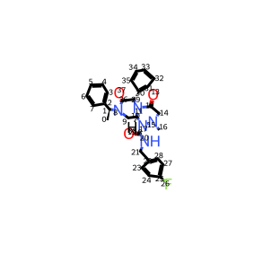 C[C@@H](c1ccccc1)N1C[C@H]2N(C(=O)CN(C)N2C(=O)NCc2ccc(F)cc2)[C@@H](c2ccccc2)C1=O